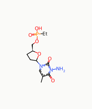 CCP(=O)(O)OC[C@@H]1CCC(n2cc(C)c(=O)n(N)c2=O)O1